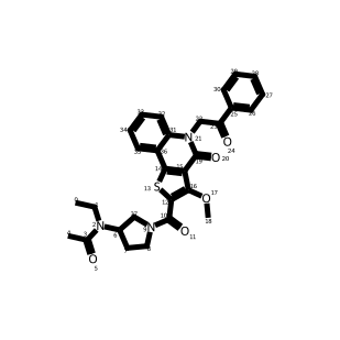 CCN(C(C)=O)C1CCN(C(=O)c2sc3c(c2OC)c(=O)n(CC(=O)c2ccccc2)c2ccccc32)C1